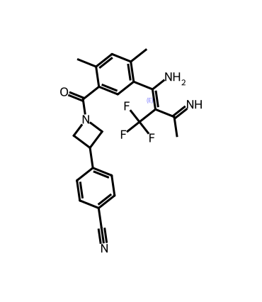 CC(=N)/C(=C(\N)c1cc(C(=O)N2CC(c3ccc(C#N)cc3)C2)c(C)cc1C)C(F)(F)F